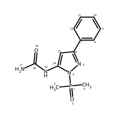 CP(C)(=O)n1nc(-c2ccccc2)cc1NC(N)=O